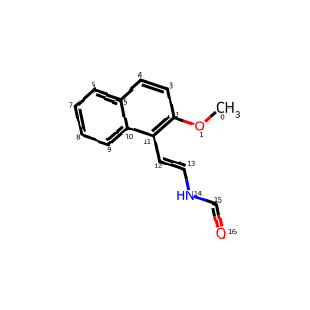 COc1ccc2ccccc2c1/C=C/NC=O